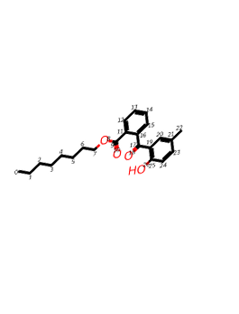 CCCCCCCCOC(=O)c1ccccc1C(=O)c1cc(C)ccc1O